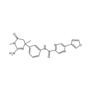 CN1C(=O)CC(C)(c2cccc(NC(=O)c3cnc(-c4ccoc4)cn3)c2)N=C1N